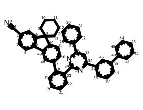 N#Cc1ccc2c(c1)C1(CCCCC1)c1ccc(-c3ccccc3-c3nc(-c4ccccc4)cc(-c4cccc(-c5ccccc5)c4)n3)cc1-2